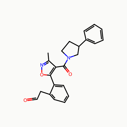 Cc1noc(-c2ccccc2CC=O)c1C(=O)N1CCC(c2ccccc2)C1